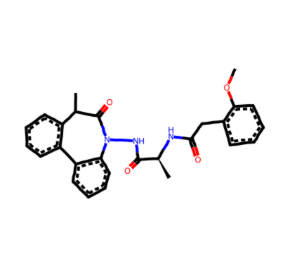 COc1ccccc1CC(=O)N[C@@H](C)C(=O)NN1C(=O)C(C)c2ccccc2-c2ccccc21